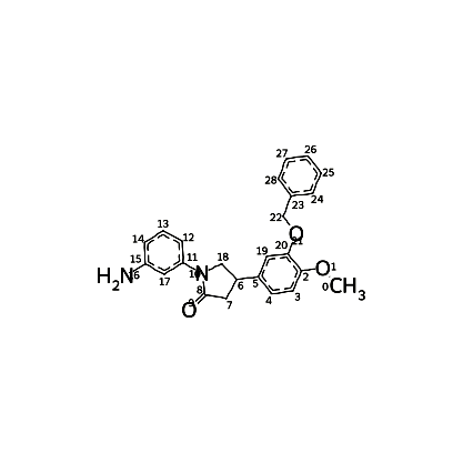 COc1ccc(C2CC(=O)N(c3cccc(N)c3)C2)cc1OCc1ccccc1